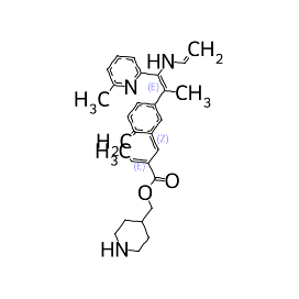 C=CN/C(=C(\C)c1ccc(=C)/c(=C\C(=C/C)C(=O)OCC2CCNCC2)c1)c1cccc(C)n1